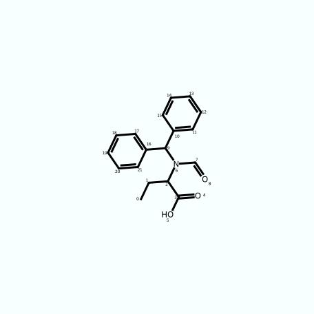 CCC(C(=O)O)N(C=O)C(c1ccccc1)c1ccccc1